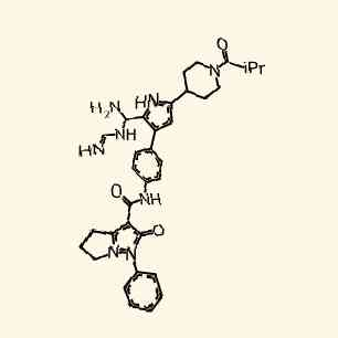 CC(C)C(=O)N1CCC(c2cc(-c3ccc(NC(=O)c4c5n(n(-c6ccccc6)c4=O)CCC5)cc3)c(C(N)NC=N)[nH]2)CC1